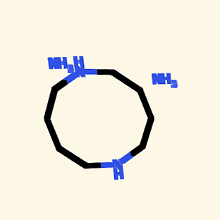 C1CCNCCCCNC1.N.N